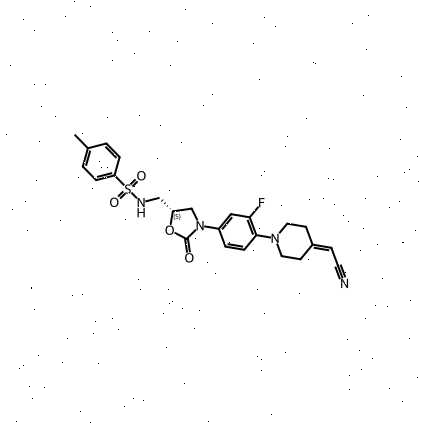 Cc1ccc(S(=O)(=O)NC[C@@H]2CN(c3ccc(N4CCC(=CC#N)CC4)c(F)c3)C(=O)O2)cc1